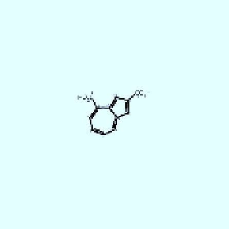 O=C(O)c1cc2ccccc(C(=O)O)c-2c1